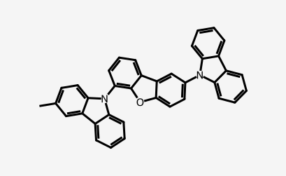 Cc1ccc2c(c1)c1ccccc1n2-c1cccc2c1oc1ccc(-n3c4ccccc4c4ccccc43)cc12